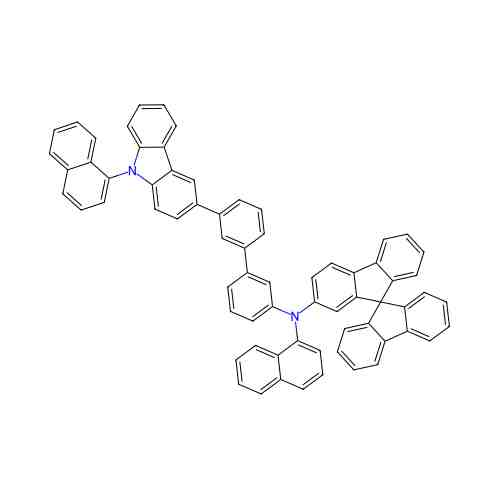 c1cc(-c2cccc(N(c3ccc4c(c3)C3(c5ccccc5-c5ccccc53)c3ccccc3-4)c3cccc4ccccc34)c2)cc(-c2ccc3c(c2)c2ccccc2n3-c2cccc3ccccc23)c1